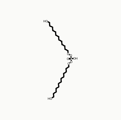 O=P(O)(OOCCCCCCCCCCCCCO)OOCCCCCCCCCCCCCO